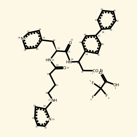 O=C(O)C(F)(F)F.O=C(O)CC(NC(=O)[C@H](Cc1ccncc1)NC(=O)CCCNc1ccccn1)c1ccc(-c2ccccc2)cc1